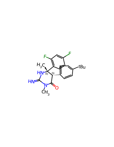 CN1C(=N)N[C@](C)(c2ccc(F)cc2F)[C@H](c2ccc(C(C)(C)C)cc2)C1=O